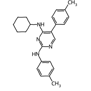 Cc1ccc(Nc2ncc(-c3ccc(C)cc3)c(NC3CCCCC3)n2)cc1